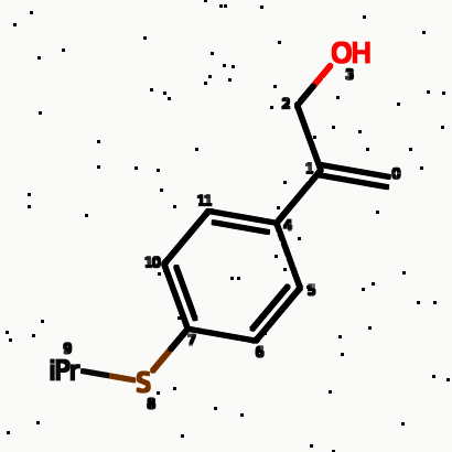 C=C(CO)c1ccc(SC(C)C)cc1